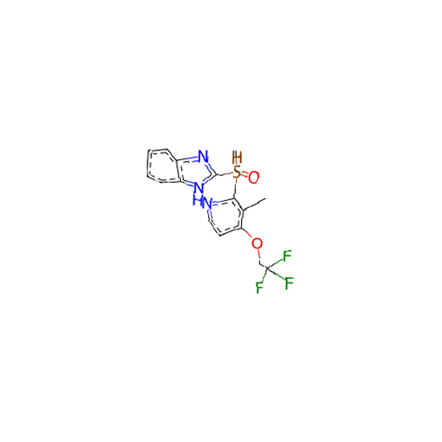 Cc1c(OCC(F)(F)F)ccnc1[SH](C)(=O)c1nc2ccccc2[nH]1